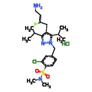 CC(C)c1nn(Cc2ccc(S(=O)(=O)N(C)C)c(Cl)c2)c(C(C)C)c1CC(F)=CCN.Cl